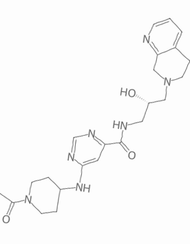 CC(=O)N1CCC(Nc2cc(C(=O)NC[C@H](O)CN3CCc4cccnc4C3)ncn2)CC1